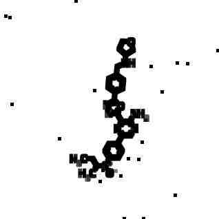 CCC(C)[S+]([O-])c1ccc(-c2cnc(N)c(-c3nnc(-c4ccc(CNC5CCOC5)cc4)o3)n2)cc1